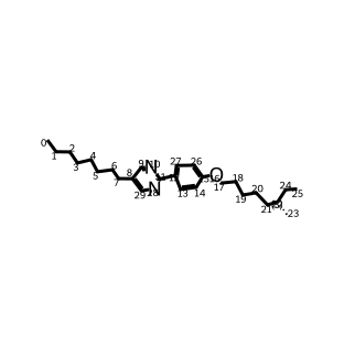 CCCCCCCCc1cnc(-c2ccc(OCCCCC[C@@H](C)CC)cc2)nc1